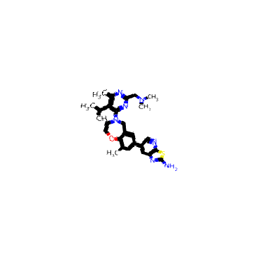 Cc1cc(-c2cnc3sc(N)nc3c2)cc2c1OCCN(c1nc(CN(C)C)nc(C)c1C(C)C)C2